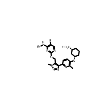 Cc1nc(-c2nnn(C)c2COc2ncc(F)c(NC(C)C)n2)ccc1O[C@H]1CCC[C@H](C(=O)O)C1